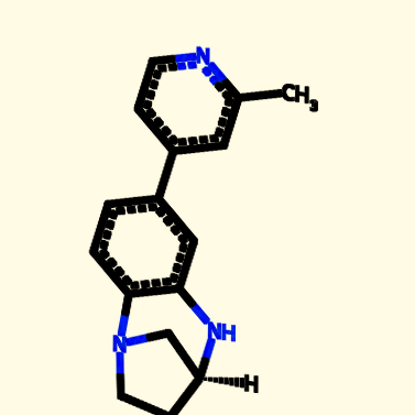 Cc1cc(-c2ccc3c(c2)N[C@H]2CCN3C2)ccn1